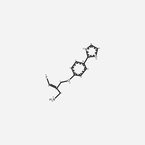 NC/C(=C/F)COc1ccc(-c2ncco2)cc1